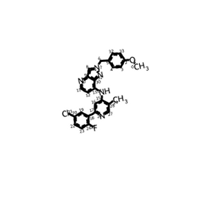 COc1ccc(Cn2cc3nccc(Nc4cc(-c5cc(Cl)ccc5F)ncc4C)c3n2)cc1